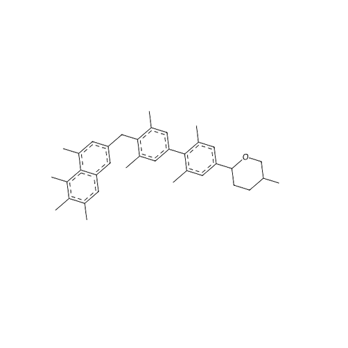 Cc1cc2cc(Cc3c(C)cc(-c4c(C)cc(C5CCC(C)CO5)cc4C)cc3C)cc(C)c2c(C)c1C